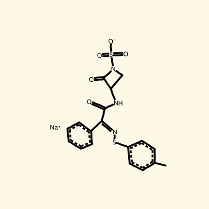 Cc1ccc(S/N=C(/C(=O)NC2CN(S(=O)(=O)[O-])C2=O)c2ccccc2)cc1.[Na+]